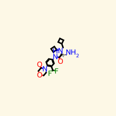 NC[C@H](C(=O)Nc1ccc(N2CCOCC2=O)c(C(F)F)c1)N(CC1CCC1)C1CCC1